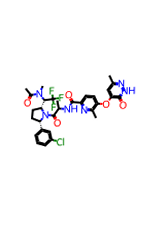 CC(=O)N(C)C([C@H]1CC[C@@H](c2cccc(Cl)c2)N1C(=O)C(C)NC(=O)c1ccc(Oc2cc(C)n[nH]c2=O)c(C)n1)C(F)(F)F